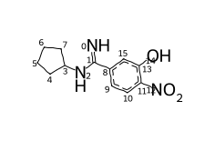 N=C(NC1CCCC1)c1ccc([N+](=O)[O-])c(O)c1